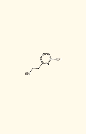 CC(C)(C)CCc1cccc(C(C)(C)C)n1